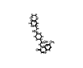 COc1ccc2ncc(=O)n(C[C@@H](O)C3CCC(NCc4cc5c(cn4)OCCO5)CC3)c2c1